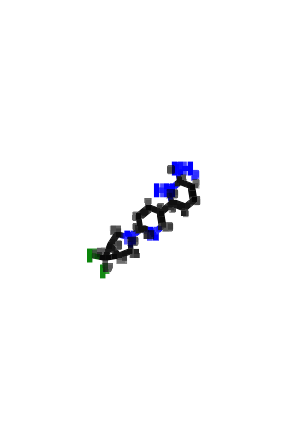 NC1C=CC=C(c2ccc(N3CC4C(C3)C4(F)F)nc2)N1